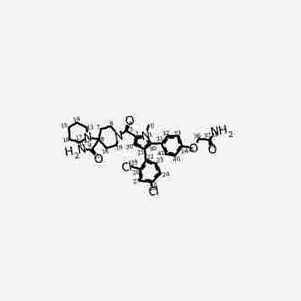 Cn1c(C(=O)N2CCC(C(N)=O)(N3CCCCC3)CC2)cc(-c2ccc(Cl)cc2Cl)c1-c1ccc(OCC(N)=O)cc1